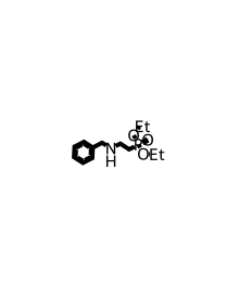 CCOP(=O)(CCNCc1ccccc1)OCC